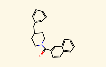 O=C(c1ccc2ccccc2c1)N1CCC(Cc2ccccc2)CC1